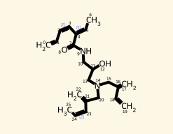 C=C/C=C\C(=C/C)C(=O)NCC(O)CN(CC(=C)C=C)CC(=C)/C=C\C